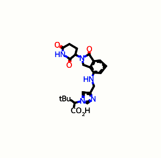 CC(C)(C)C(C(=O)O)n1cnc(CNc2cccc3c2CN(C2CCC(=O)NC2=O)C3=O)c1